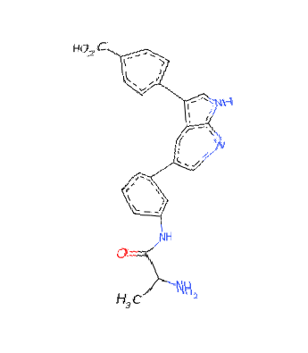 CC(N)C(=O)Nc1cccc(-c2cnc3[nH]cc(-c4ccc(C(=O)O)cc4)c3c2)c1